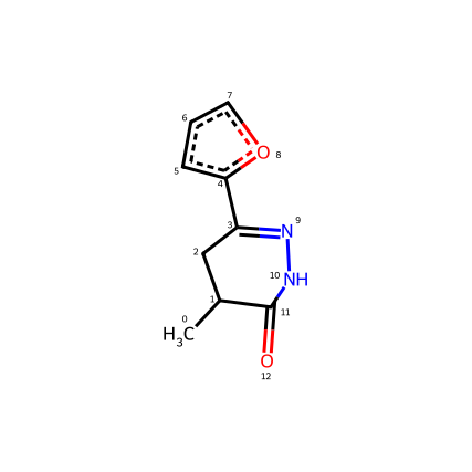 CC1CC(c2ccco2)=NNC1=O